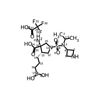 CC(C)N(C1CNC1)S(=O)(=O)N1C[C@H](CCCB(O)O)[C@](N)(C(=O)O)C1.O=C(O)C(F)(F)F